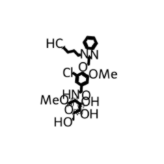 C#CCCCn1c(COc2c(Cl)cc(C(=O)N[C@H]3[C@@H](OC)O[C@H](CO)[C@@H](O)[C@@H]3O)cc2OC)nc2ccccc21